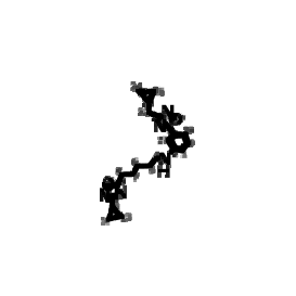 c1cc(NCCCCCc2nc(C3CC3)no2)cc(-c2nc(CC3CC3)no2)c1